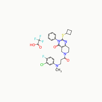 CN(CCC(=O)N1CCc2nc(SC3CCC3)n(-c3ccccc3)c(=O)c2C1)c1ccc(F)c(Cl)c1.O=C(O)C(F)(F)F